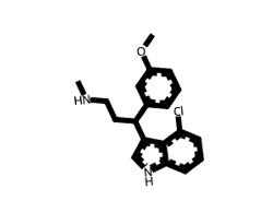 CNCCC(c1cccc(OC)c1)c1c[nH]c2cccc(Cl)c12